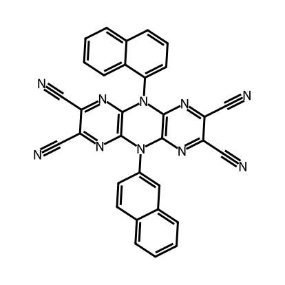 N#Cc1nc2c(nc1C#N)N(c1cccc3ccccc13)c1nc(C#N)c(C#N)nc1N2c1ccc2ccccc2c1